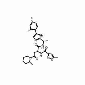 Cc1cc(C(=O)NC(CC(=O)N2CCCCC2C)C(=O)N[C@@H](C)c2ncc(-c3ccc(F)cc3F)[nH]2)no1